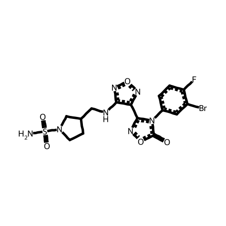 NS(=O)(=O)N1CCC(CNc2nonc2-c2noc(=O)n2-c2ccc(F)c(Br)c2)C1